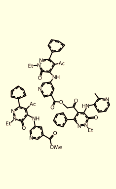 CCn1nc(-c2ccccc2)c(C(C)=O)c(Nc2cncc(C(=O)OC)c2)c1=O.CCn1nc(-c2ccccc2)c(C(C)=O)c(Nc2cncc(C(=O)OCC(=O)c3c(-c4ccccc4)nn(CC)c(=O)c3Nc3cccnc3C)c2)c1=O